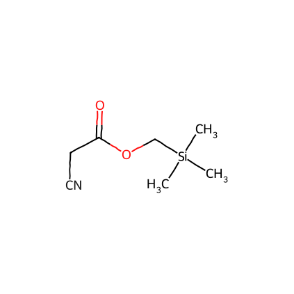 C[Si](C)(C)COC(=O)CC#N